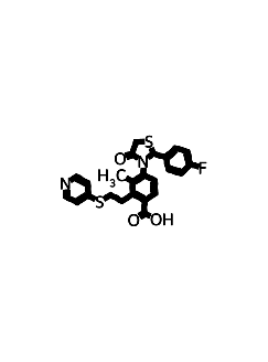 Cc1c(N2C(=O)CSC2c2ccc(F)cc2)ccc(C(=O)O)c1CCSc1ccncc1